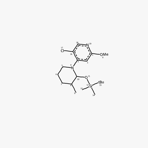 COc1cc(N2CCCC(C)C2O[Si](C)(C)C(C)(C)C)c(Cl)cn1